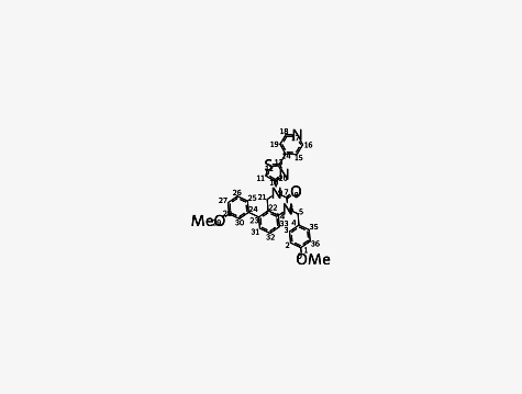 COc1ccc(CN2C(=O)N(c3csc(-c4ccncc4)n3)Cc3c(-c4cccc(OC)c4)cccc32)cc1